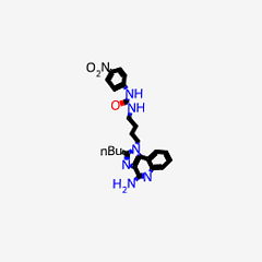 CCCCc1nc2c(N)nc3ccccc3c2n1CCCCNC(=O)Nc1ccc([N+](=O)[O-])cc1